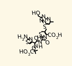 Cc1cc(SCC2=C(C(=O)O)N3C(=O)C(NC(=O)C(=NOC(C)(C)C(=O)O)c4csc(N)n4)[C@@H]3SC2)n2nc(CO)nc2n1